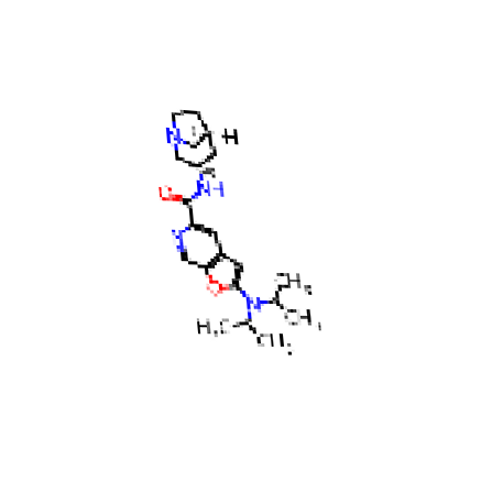 CC(C)N(c1cc2cc(C(=O)N[C@@H]3C[C@@H]4CCN(C4)C3)ncc2o1)C(C)C